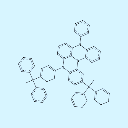 CC(C1=CCCC=C1)(C1=CC=CCC1)c1ccc2c(c1)B1c3ccccc3N(c3ccccc3)c3cccc(c31)N2C1=CC=C(C(C)(c2ccccc2)c2ccccc2)CC1